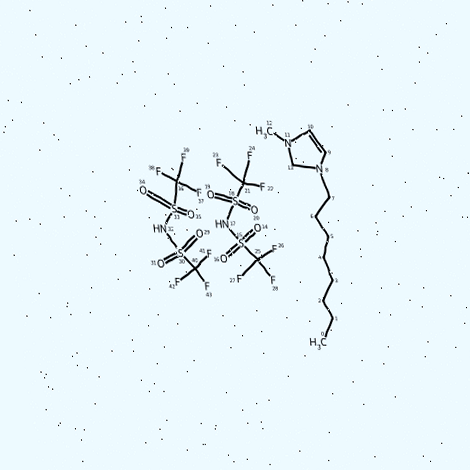 CCCCCCCCN1C=CN(C)C1.O=S(=O)(NS(=O)(=O)C(F)(F)F)C(F)(F)F.O=S(=O)(NS(=O)(=O)C(F)(F)F)C(F)(F)F